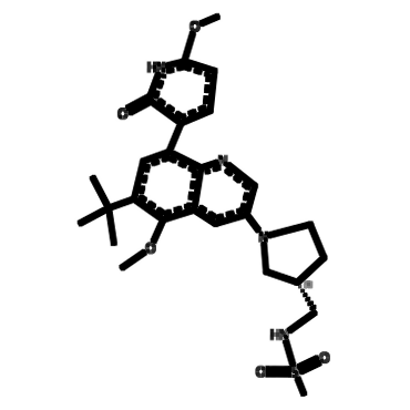 COc1ccc(-c2cc(C(C)(C)C)c(OC)c3cc(N4CC[C@H](CNS(C)(=O)=O)C4)cnc23)c(=O)[nH]1